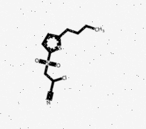 CCCCc1ccc(S(=O)(=O)CC(Cl)C#N)s1